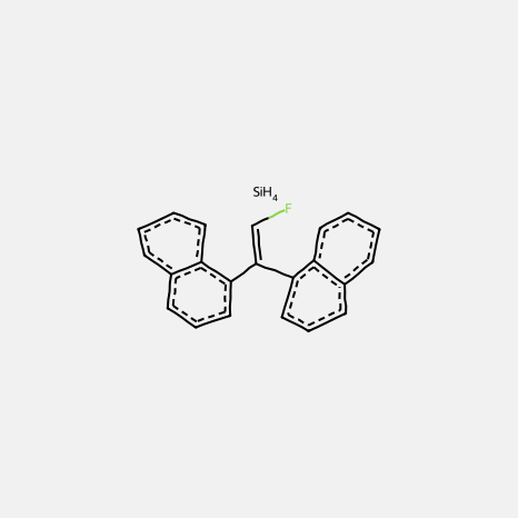 FC=C(c1cccc2ccccc12)c1cccc2ccccc12.[SiH4]